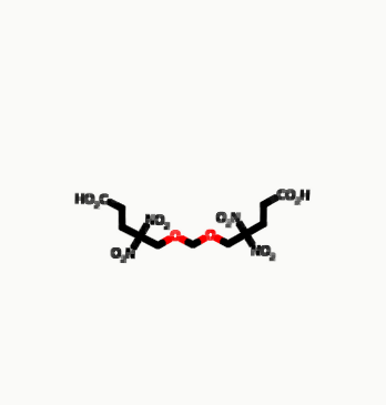 O=C(O)CCC(COCOCC(CCC(=O)O)([N+](=O)[O-])[N+](=O)[O-])([N+](=O)[O-])[N+](=O)[O-]